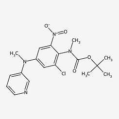 CN(C(=O)OC(C)(C)C)c1c(Cl)cc(N(C)c2cccnc2)cc1[N+](=O)[O-]